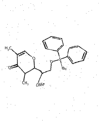 COC(CO[Si](c1ccccc1)(c1ccccc1)C(C)(C)C)C1OC=C(C)C(=O)C1C